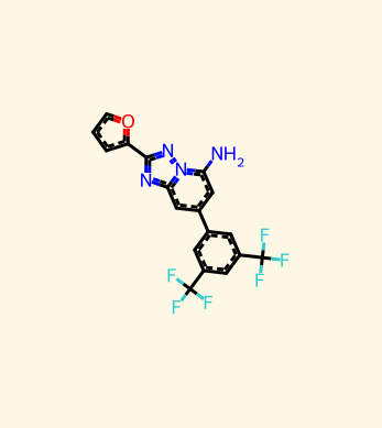 Nc1cc(-c2cc(C(F)(F)F)cc(C(F)(F)F)c2)cc2nc(-c3ccco3)nn12